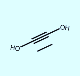 CC.OC#CO